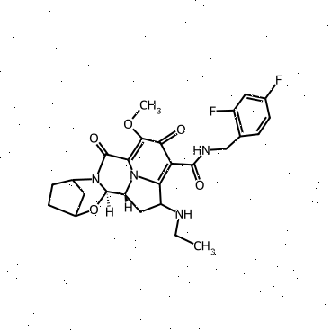 CCNC1C[C@@H]2[C@H]3OC4CCC(C4)N3C(=O)c3c(OC)c(=O)c(C(=O)NCc4ccc(F)cc4F)c1n32